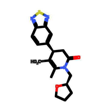 CC1=C(C(=O)O)[C@@H](c2ccc3nsnc3c2)CC(=O)N1C[C@H]1CCCO1